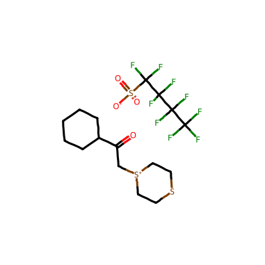 O=C(C[S+]1CCSCC1)C1CCCCC1.O=S(=O)([O-])C(F)(F)C(F)(F)C(F)(F)C(F)(F)F